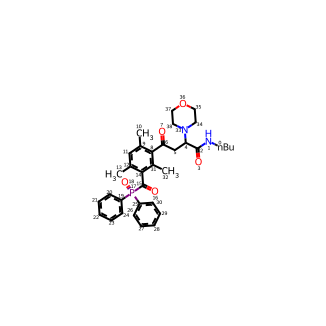 CCCCNC(=O)C(CC(=O)c1c(C)cc(C)c(C(=O)P(=O)(c2ccccc2)c2ccccc2)c1C)N1CCOCC1